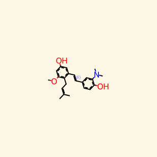 COc1cc(O)cc(/C=C/c2ccc(O)c(N(C)C)c2)c1CC=C(C)C